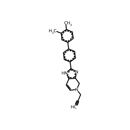 C#CCN1C=Cc2[nH]c(-c3ccc(-c4ccc(C)c(C)c4)cc3)nc2C1